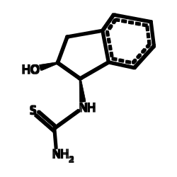 NC(=S)N[C@@H]1c2ccccc2C[C@@H]1O